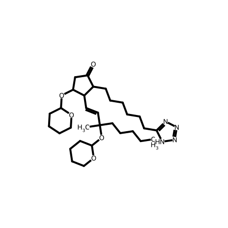 CCCCCC(C)(C=CC1C(OC2CCCCO2)CC(=O)C1CCCCCCc1nnn[nH]1)OC1CCCCO1